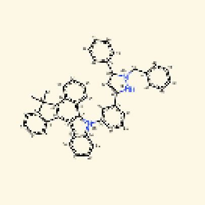 CC1(C)c2ccccc2-c2c1c1ccccc1c1c2c2ccccc2n1-c1cccc(C2=CC(c3ccccc3)N(Cc3ccccc3)N2)c1